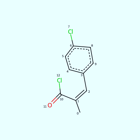 CC(=Cc1ccc(Cl)cc1)C(=O)Cl